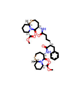 COC(=O)[C@@H]1CCC[C@@H]2SCC[C@H](NC(=O)CCC[C@H](Cc3ccccc3)C(=O)N[C@H]3CCS[C@H]4CCC[C@@H](C(=O)OC)N4C3=O)C(=O)N21